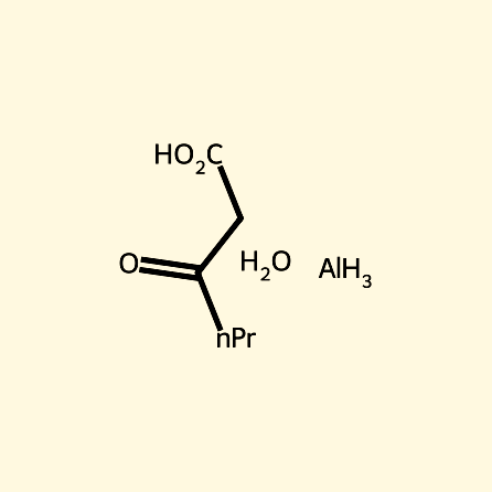 CCCC(=O)CC(=O)O.O.[AlH3]